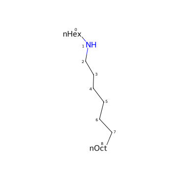 [CH2]CCCCCNCCCCCCCCCCCCCC